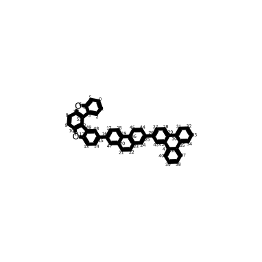 c1ccc2c(c1)oc1ccc3oc4ccc(-c5ccc6c(ccc7cc(-c8ccc9c%10ccccc%10c%10ccccc%10c9c8)ccc76)c5)cc4c3c12